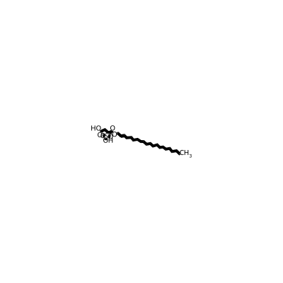 CCCCCCCCCCCCCCCCCCC=CCOC(=O)C(CC(=O)O)S(=O)(=O)O